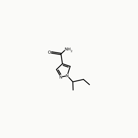 CCC(C)n1cc(C(N)=O)cn1